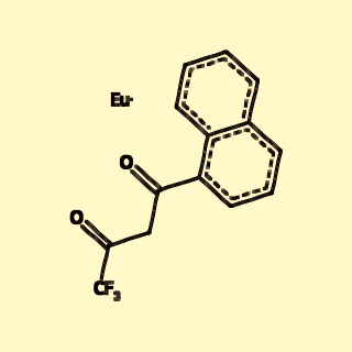 O=C(CC(=O)C(F)(F)F)c1cccc2ccccc12.[Eu]